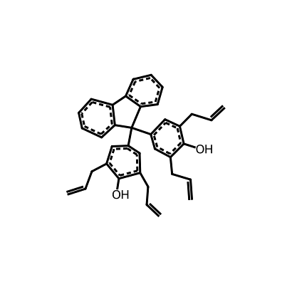 C=CCc1cc(C2(c3cc(CC=C)c(O)c(CC=C)c3)c3ccccc3-c3ccccc32)cc(CC=C)c1O